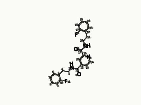 O=C(NCCc1ccccc1F)c1ccnc(C(=O)NCCc2ccccc2F)c1